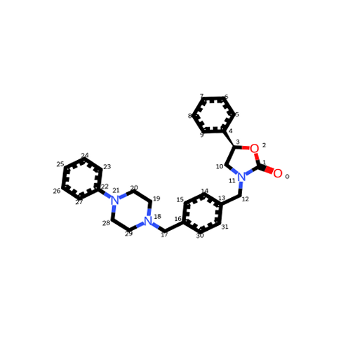 O=C1O[C@H](c2ccccc2)CN1Cc1ccc(CN2CCN(c3ccccc3)CC2)cc1